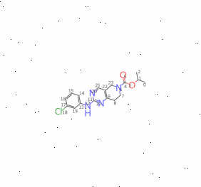 CC(C)OC(=O)N1CCc2nc(Nc3cccc(Cl)c3)ncc2C1